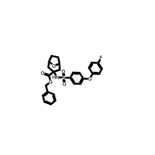 O=C(OCc1ccccc1)C1(NS(=O)(=O)c2ccc(Oc3ccc(F)cc3)cc2)CC2CCC(C1)O2